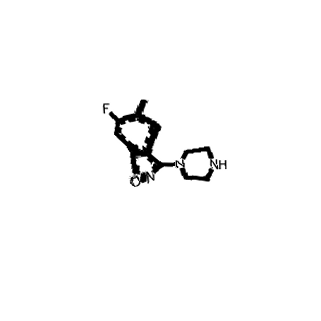 Cc1cc2c(N3CCNCC3)noc2cc1F